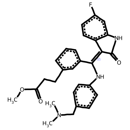 COC(=O)CCc1cccc(/C(Nc2ccc(CN(C)C)cc2)=C2/C(=O)Nc3cc(F)ccc32)c1